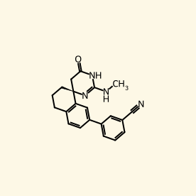 CNC1=N[C@@]2(CCCc3ccc(-c4cccc(C#N)c4)cc32)CC(=O)N1